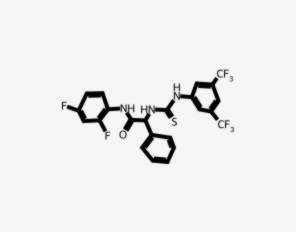 O=C(Nc1ccc(F)cc1F)C(NC(=S)Nc1cc(C(F)(F)F)cc(C(F)(F)F)c1)c1ccccc1